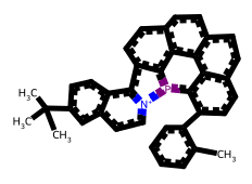 Cc1ccccc1-c1ccc2ccc3ccc4ccc5c6c7ccc(C(C)(C)C)cc7cc[n+]6p6c1c2c3c4c56